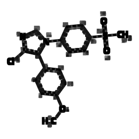 COc1ccc(-c2c(Cl)ncn2-c2ccc(S(C)(=O)=O)cc2)cc1